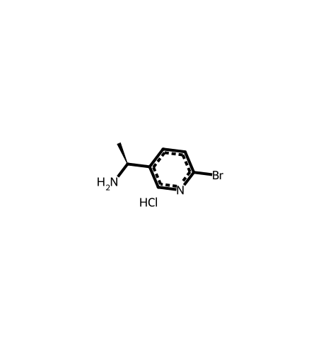 C[C@H](N)c1ccc(Br)nc1.Cl